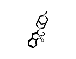 CN1CC2CC(C1)CN(C1=Cc3ccccc3S1(=O)=O)C2